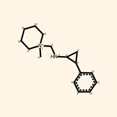 C[N+]1(CNC2CC2c2ccccc2)CCCCC1